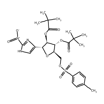 Cc1ccc(S(=O)(=O)OC[C@H]2O[C@H](c3c[nH]c([N+](=O)[O-])n3)[C@@H](OC(=O)C(C)(C)C)[C@@H]2OC(=O)C(C)(C)C)cc1